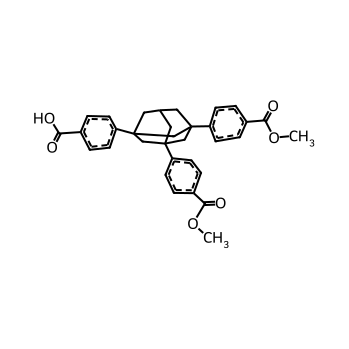 COC(=O)c1ccc(C23CC4CC(c5ccc(C(=O)O)cc5)(C2)CC(c2ccc(C(=O)OC)cc2)(C4)C3)cc1